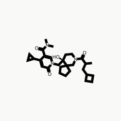 CC(CC1CCC1)C(=O)N1CC[C@@](O)(Cn2cc(C(=O)N(C)C)c(C3CC3)cc2=O)C2(CCCC2)C1